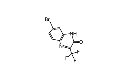 O=c1[nH]c2cc(Br)ccc2nc1C(F)(F)F